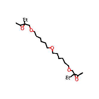 CCC1(COCCCCCCOCCCCCCOCC2(CC)OC2C)OC1C